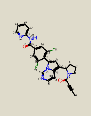 CC#CC(=O)N1CCCC1c1cc(-c2c(F)cc(C(=O)Nc3ccccn3)cc2F)n2cnccc12